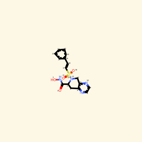 O=C(NO)C1Cc2nccnc2CN1S(=O)(=O)/C=C/c1ccccc1